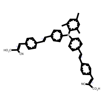 Cc1cc(C)c(N(c2ccc(/C=C/c3ccc(/C=C(\C#N)C(=O)O)cc3)cc2)c2ccc(/C=C/c3ccc(/C=C(\C#N)C(=O)O)cc3)cc2)c(C)c1